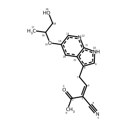 CC(=O)C(C#N)=CCc1c[nH]c2ncc(OC(C)CO)cc12